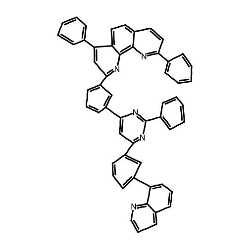 c1ccc(-c2ccc3ccc4c(-c5ccccc5)cc(-c5cccc(-c6cc(-c7cccc(-c8cccc9cccnc89)c7)nc(-c7ccccc7)n6)c5)nc4c3n2)cc1